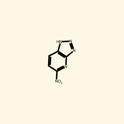 O=[N+]([O-])c1ccc2[nH]nnc2n1